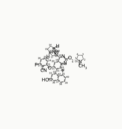 CN1CCC[C@H]1COc1nc(N2C[C@H]3CC[C@@H](C2)N3)c2cc(Oc3cccc(F)c3C#N)c(-c3cc(O)cc4ccccc34)c(F)c2n1